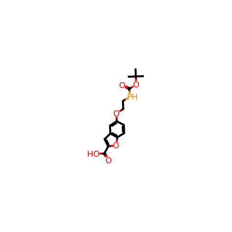 CC(C)(C)OC(=O)PCCOc1ccc2oc(C(=O)O)cc2c1